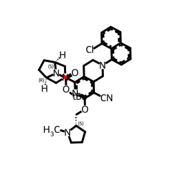 CN1CCC[C@H]1COc1nc(N2C[C@H]3CC[C@@H](C2)N3C(=O)OC(C)(C)C)c2c(c1C#N)CN(c1cccc3cccc(Cl)c13)CC2